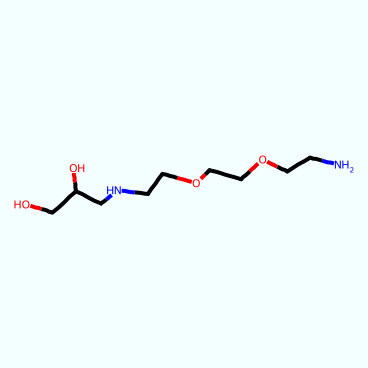 NCCOCCOCCNCC(O)CO